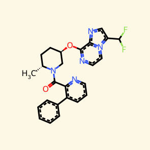 C[C@@H]1CC[C@@H](Oc2nccn3c(C(F)F)cnc23)CN1C(=O)c1ncccc1-c1ccccc1